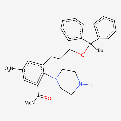 CNC(=O)c1cc([N+](=O)[O-])cc(CCCO[Si](c2ccccc2)(c2ccccc2)C(C)(C)C)c1N1CCN(C)CC1